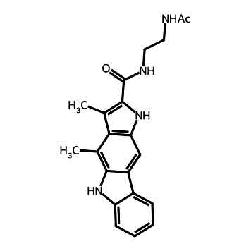 CC(=O)NCCNC(=O)c1[nH]c2cc3c([nH]c4ccccc43)c(C)c2c1C